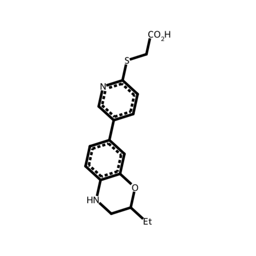 CCC1CNc2ccc(-c3ccc(SCC(=O)O)nc3)cc2O1